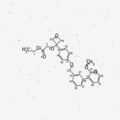 CCOC(=O)COC1(c2ccc(OCc3cccc(-c4cccnc4OC)c3)cc2)COC1